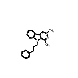 [CH2]c1cc2c3ccccc3n(CCCc3ccccc3)c2c(C)n1